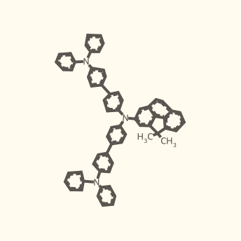 CC1(C)c2cccc3ccc4cc(N(c5ccc(-c6ccc(N(c7ccccc7)c7ccccc7)cc6)cc5)c5ccc(-c6ccc(N(c7ccccc7)c7ccccc7)cc6)cc5)cc1c4c23